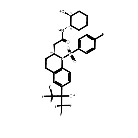 O=C(C[C@@H]1CCc2cc(C(O)(C(F)(F)F)C(F)(F)F)ccc2N1S(=O)(=O)c1ccc(F)cc1)N[C@H]1CCCC[C@@H]1O